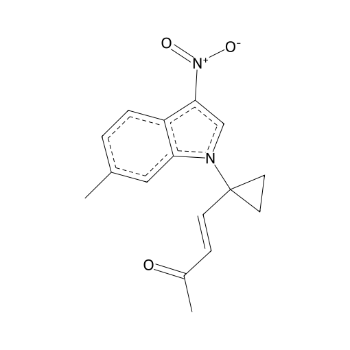 CC(=O)/C=C/C1(n2cc([N+](=O)[O-])c3ccc(C)cc32)CC1